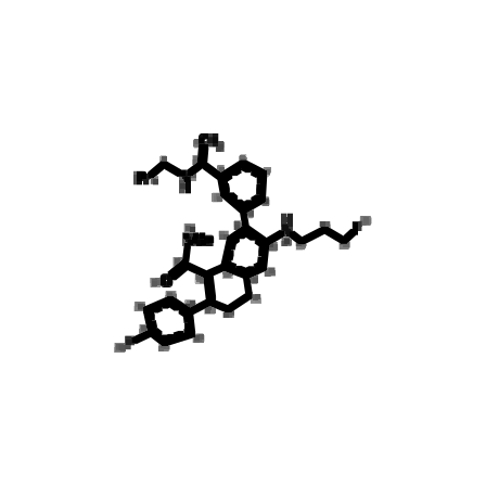 C=C(NCC(C)C)c1cccc(-c2cc3c(cc2NCCCF)CCC(c2ccc(F)cc2)=C3C(=O)NC)c1